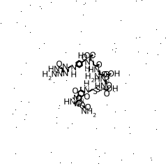 CO[C@]12C(C)NCN1C1=C(C(=O)C(NCCSSC[C@H](NC(=O)[C@H](CC(=O)O)NC(=O)[C@@H](N)CNC(=O)CC[C@@H](NC(=O)c3ccc(NCc4cnc5nc(N)[nH]c(=O)c5n4)cc3)C(=O)O)C(=O)O)=C(C)C1=O)[C@H]2COC(N)=O